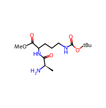 COC(=O)C(CCCNC(=O)OC(C)(C)C)NC(=O)[C@@H](C)N